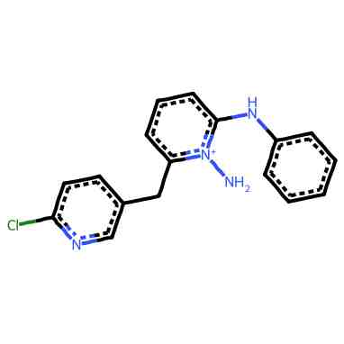 N[n+]1c(Cc2ccc(Cl)nc2)cccc1Nc1ccccc1